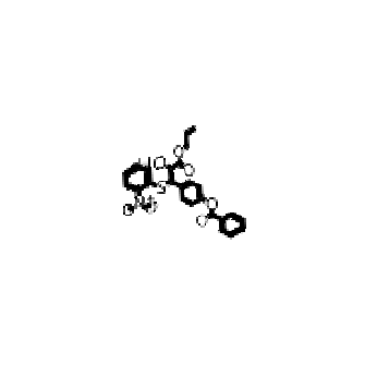 CCCOC(=O)C(O)C(Sc1ccccc1[N+](=O)[O-])c1ccc(OC(=O)c2ccccc2)cc1